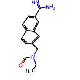 CCN([C]=O)Cc1ccc2ccc(C(=N)N)cc2c1